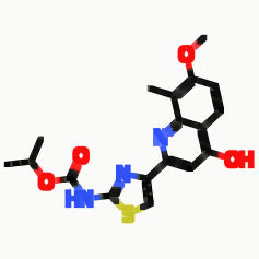 COc1ccc2c(O)cc(-c3csc(NC(=O)OC(C)C)n3)nc2c1C